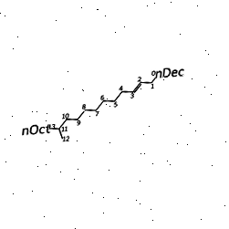 [CH2]CCCCCCCCCCC=CCCCCCCCC(C)CCCCCCC[CH2]